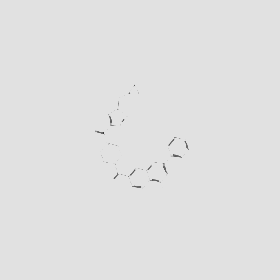 O=C(C1=CC(CC2CC2)N=N1)N1CCN(C(=O)c2ccc3c(Cl)cc(-c4ccccc4)nc3c2)CC1